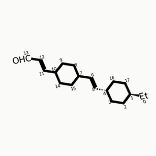 CC[C@H]1CC[C@H](/C=C/C2CCC(C=CC=O)CC2)CC1